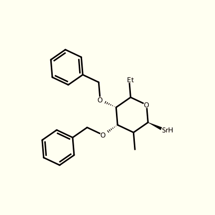 CCC1O[C@@H]([SrH])C(C)[C@H](OCc2ccccc2)[C@@H]1OCc1ccccc1